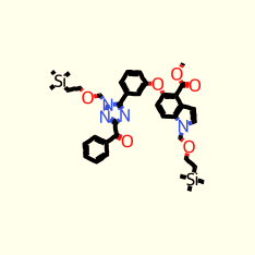 COC(=O)c1c(Oc2cccc(-c3nc(C(=O)c4ccccc4)nn3COCC[Si](C)(C)C)c2)ccc2c1ccn2COCC[Si](C)(C)C